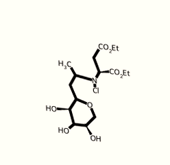 CCOC(=O)C[C@@H](C(=O)OCC)N(Cl)C(C)CC1OC[C@@H](O)C(O)[C@H]1O